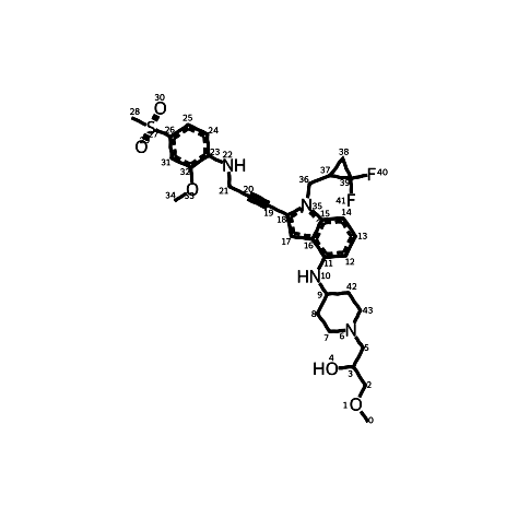 COCC(O)CN1CCC(Nc2cccc3c2cc(C#CCNc2ccc(S(C)(=O)=O)cc2OC)n3CC2CC2(F)F)CC1